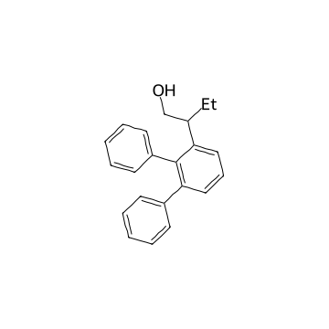 CCC(CO)c1cccc(-c2ccccc2)c1-c1ccccc1